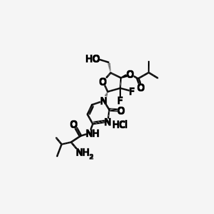 CC(C)C(=O)O[C@@H]1[C@@H](CO)O[C@@H](n2ccc(NC(=O)C(N)C(C)C)nc2=O)C1(F)F.Cl